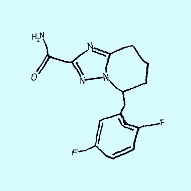 NC(=O)c1nc2n(n1)C(c1cc(F)ccc1F)CCC2